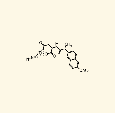 COC(=O)C(CC(=O)OCN=[N+]=[N-])NC(=O)C(C)c1ccc2cc(OC)ccc2c1